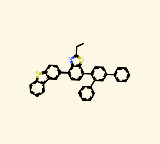 CCc1nc2c(-c3ccc4sc5ccccc5c4c3)ccc(-c3ccc(-c4ccccc4)cc3-c3ccccc3)c2s1